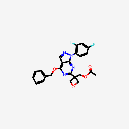 CC(=O)OCC1(c2nc(OCc3ccccc3)c3cnn(-c4ccc(F)cc4F)c3n2)COC1